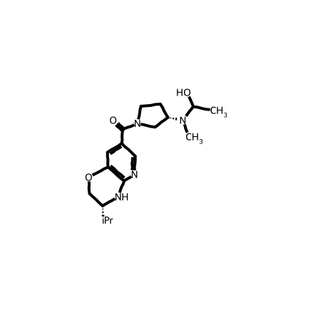 CC(C)[C@@H]1COc2cc(C(=O)N3CC[C@H](N(C)C(C)O)C3)cnc2N1